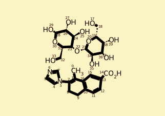 CC1=C(n2ccnc2)CCc2ccc(C(=O)O)cc21.OC[C@H]1O[C@@H](O[C@H]2[C@H](O)[C@@H](O)[C@H](O)O[C@@H]2CO)[C@H](O)[C@@H](O)[C@H]1O